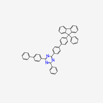 c1ccc(-c2ccc(-c3nc(-c4ccccc4)nc(-c4ccc(-c5ccc(C6(c7ccccc7)c7ccccc7-c7ccccc76)cc5)cc4)n3)cc2)cc1